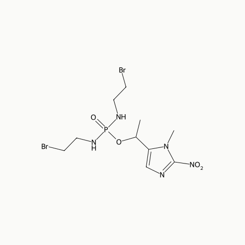 CC(OP(=O)(NCCBr)NCCBr)c1cnc([N+](=O)[O-])n1C